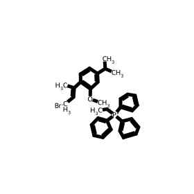 CC=C(C)c1ccc(C(C)C)cc1OC.CC[P+](c1ccccc1)(c1ccccc1)c1ccccc1.[Br-]